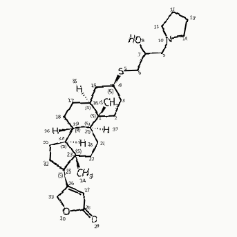 C[C@]12CC[C@H](SCC(O)CN3CCCC3)C[C@@H]1CC[C@@H]1[C@@H]2CC[C@]2(C)[C@@H](C3=CC(=O)OC3)CC[C@@H]12